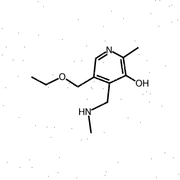 CCOCc1cnc(C)c(O)c1CNC